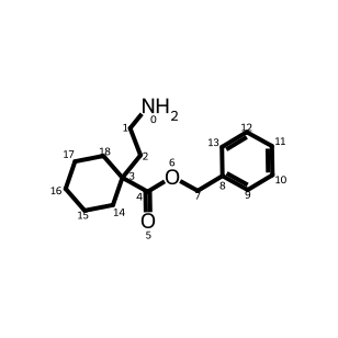 NCCC1(C(=O)OCc2ccccc2)CCCCC1